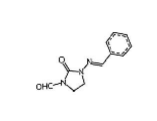 O=CN1CCN(N=Cc2ccccc2)C1=O